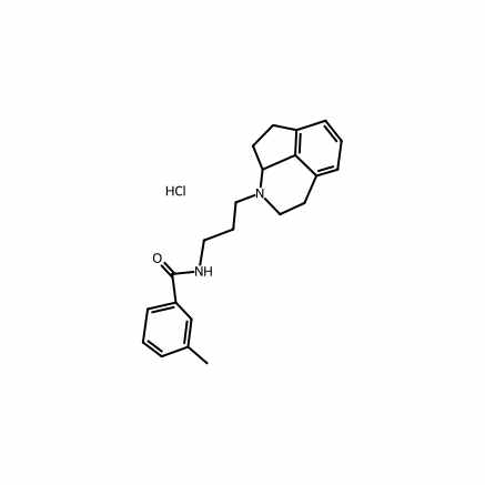 Cc1cccc(C(=O)NCCCN2CCc3cccc4c3C2CC4)c1.Cl